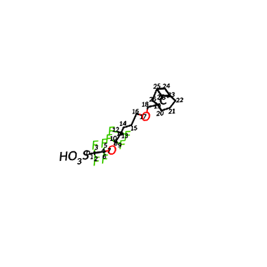 O=S(=O)(O)C(F)(F)C(F)(F)OC(F)(F)C(F)(F)CCCOCC12CCCC3(CC(C1)C3)C2